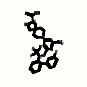 Nc1nc(O[C@H](c2ccccc2-c2cccc(F)c2)C(F)(F)F)cc(N2CCC3(CC2)CN[C@H](C(=O)O)C3)n1